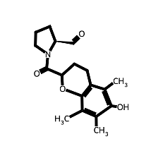 Cc1c(C)c2c(c(C)c1O)CCC(C(=O)N1CCC[C@H]1C=O)O2